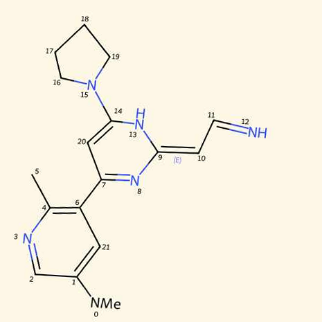 CNc1cnc(C)c(C2=N/C(=C/C=N)NC(N3CCCC3)=C2)c1